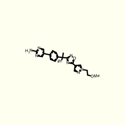 COCCn1cc(-c2nc(C(C)(c3ccc(-c4cnc(N)nc4)cc3)C(C)C)no2)cn1